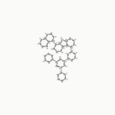 c1ccc(-c2nc(-c3ccccc3)nc(-c3cccc(-c4cccc5oc6c(-c7cccc8cccnc78)nccc6c45)c3)n2)cc1